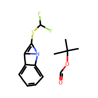 CC(C)(C)OC=O.FC(F)Sc1c2c3ccccc3n1-2